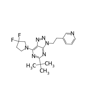 CC(C)(C)c1nc(N2CCC(F)(F)C2)c2nnn(CCc3cccnc3)c2n1